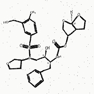 Cc1ccc(S(=O)(=O)N(C[C@@H](O)[C@H](Cc2ccccc2)NC(=O)OC2CO[C@H]3OCCC23)C2CCOC2)cc1CO